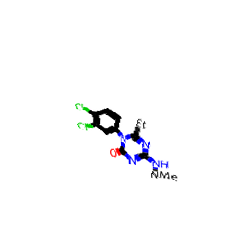 CCc1nc(NNC)nc(=O)n1-c1ccc(Cl)c(Cl)c1